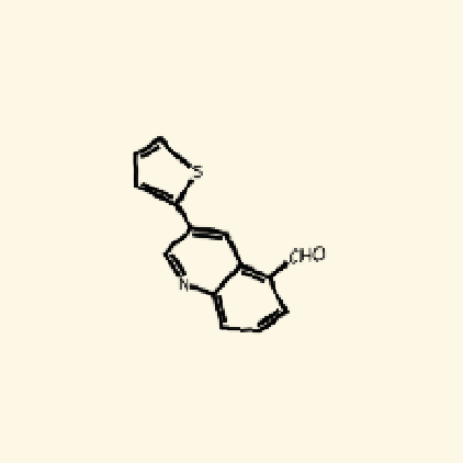 O=Cc1cccc2ncc(-c3cccs3)cc12